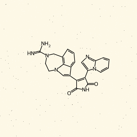 N=C(N)N1CCn2cc(C3=C(c4cnc5ccccn45)C(=O)NC3=O)c3cccc(c32)C1